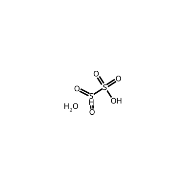 O.O=[SH](=O)S(=O)(=O)O